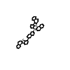 c1ccc2cc(N(c3ccc4cc(-c5cccc6c5sc5ccc7ccccc7c56)ccc4c3)c3cccc4c3sc3ccc5ccccc5c34)ccc2c1